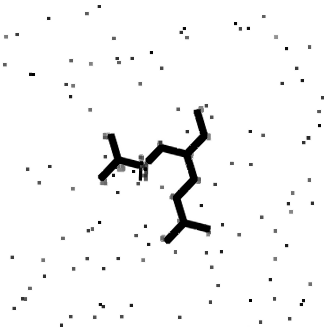 CCC(CCC(C)C)CNC(C)C